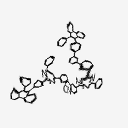 N#Cc1cc(-c2cc(-c3ccccc3)nc(-c3ccc(-c4c(-c5ccccc5)c5ccccc5c5ccccc45)cc3)n2)ccc1-c1cccc(-c2nc(-c3ccccc3)nc(-c3cccc(-c4cccc(-c5ccc(-c6c(-c7ccccc7)c7ccccc7c7ccccc67)cc5)c4)c3)n2)c1